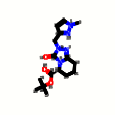 Cn1ccc(Cn2nc3n(c2=O)[C@@H](C(=O)OC(C)(C)C)CCC3)n1